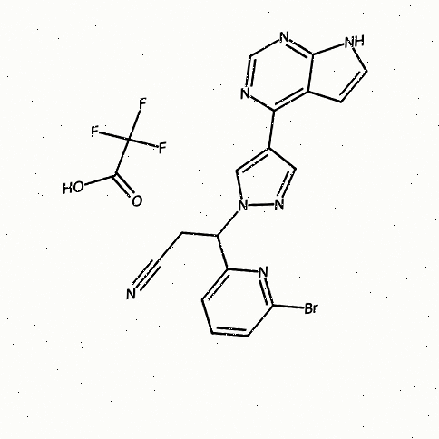 N#CCC(c1cccc(Br)n1)n1cc(-c2ncnc3[nH]ccc23)cn1.O=C(O)C(F)(F)F